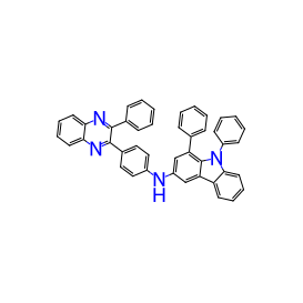 c1ccc(-c2nc3ccccc3nc2-c2ccc(Nc3cc(-c4ccccc4)c4c(c3)c3ccccc3n4-c3ccccc3)cc2)cc1